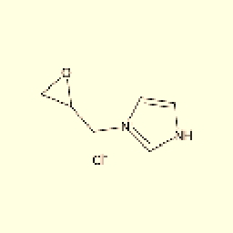 [Cl-].c1c[n+](CC2CO2)c[nH]1